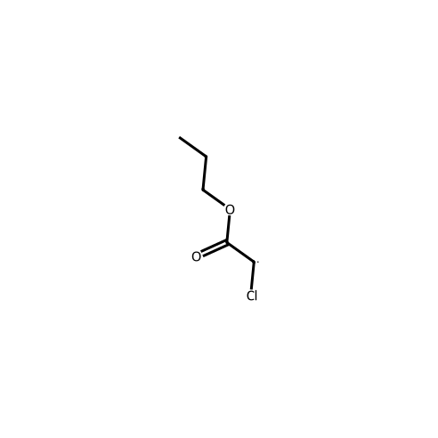 CCCOC(=O)[CH]Cl